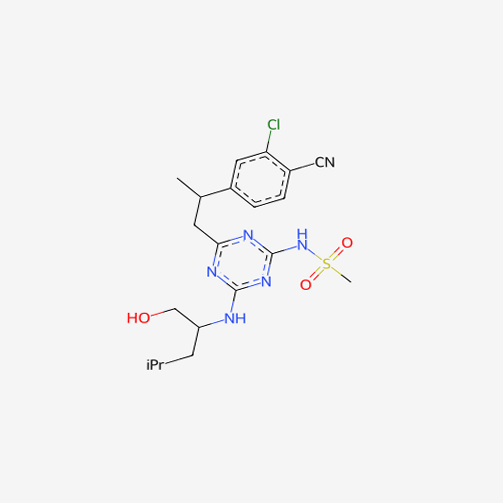 CC(C)CC(CO)Nc1nc(CC(C)c2ccc(C#N)c(Cl)c2)nc(NS(C)(=O)=O)n1